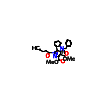 C#CCCC(=O)N1CC[C@@]23C1=NC(C(=O)OC)=C(C(=O)OC)[C@@H]2N(Cc1ccccc1)c1ccccc13